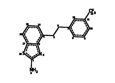 Nc1nc2c(CCc3cccc(C(F)(F)F)c3)cccc2s1